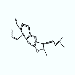 C=Cc1ccc2cc3c(cc2c1/C=C\C)OC(C)/C3=C\C=C(C)C